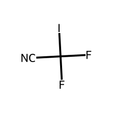 N#CC(F)(F)I